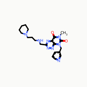 Cn1c(=O)c2nc(CNCCCN3CCCCC3)nnc2n(Cc2cccnc2)c1=O